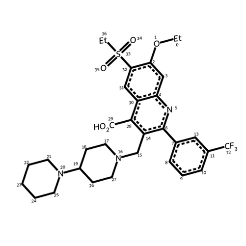 CCOc1cc2nc(-c3cccc(C(F)(F)F)c3)c(CN3CCC(N4CCCCC4)CC3)c(C(=O)O)c2cc1S(=O)(=O)CC